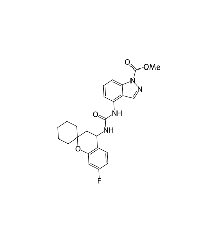 COC(=O)n1ncc2c(NC(=O)NC3CC4(CCCCC4)Oc4cc(F)ccc43)cccc21